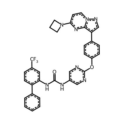 O=C(Nc1cnc(Oc2ccc(-c3cnn4ccc(N5CCC5)nc34)cc2)nc1)Nc1cc(C(F)(F)F)ccc1-c1ccccc1